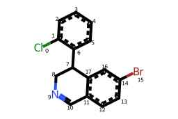 Clc1ccccc1C1CN=Cc2ccc(Br)cc21